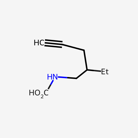 C#CCC(CC)CNC(=O)O